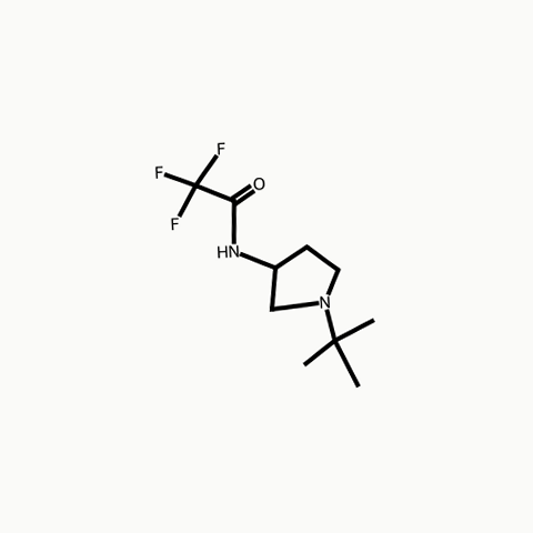 CC(C)(C)N1CCC(NC(=O)C(F)(F)F)C1